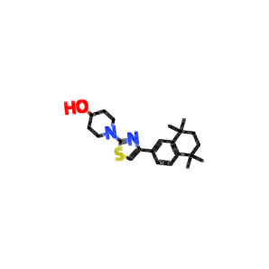 CC1(C)CCC(C)(C)c2cc(-c3csc(N4CCC(O)CC4)n3)ccc21